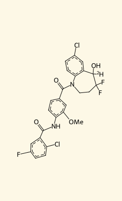 [2H]C1(O)c2cc(Cl)ccc2N(C(=O)c2ccc(NC(=O)c3cc(F)ccc3Cl)c(OC)c2)CCC1(F)F